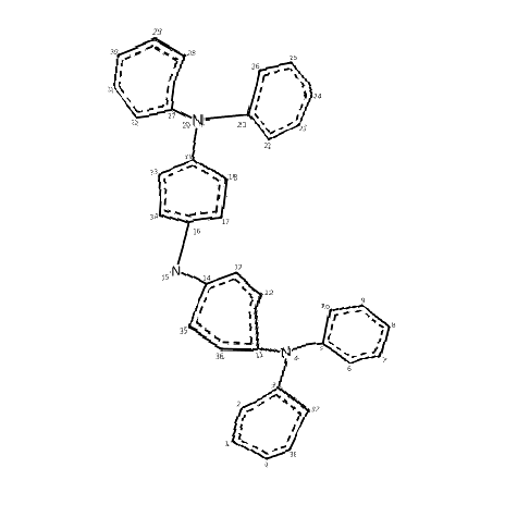 c1ccc(N(c2ccccc2)c2ccc([N]c3ccc(N(c4ccccc4)c4ccccc4)cc3)cc2)cc1